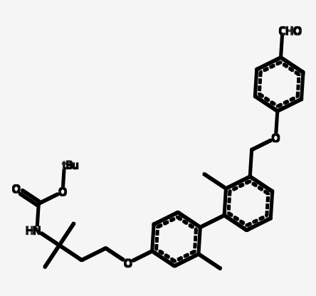 Cc1cc(OCCC(C)(C)NC(=O)OC(C)(C)C)ccc1-c1cccc(COc2ccc(C=O)cc2)c1C